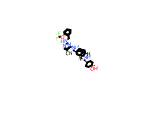 C[C@]1(O)CC[C@@H](CN[C@@H]2[C@@H]3CC4C[C@H]2C[C@@](CNc2nc(NCc5ccccc5OC(F)F)ncc2C#N)(C4)C3)CC1